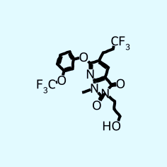 Cn1c(=O)n(CCCO)c(=O)c2cc(CCC(F)(F)F)c(Oc3cccc(OC(F)(F)F)c3)nc21